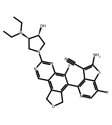 CCN(CC)[C@@H]1CN(c2ncc3c4c(c(-c5ncc(F)c6sc(N)c(C#N)c56)c(F)c3n2)COC4)C[C@@H]1O